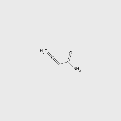 C=C=CC(N)=O